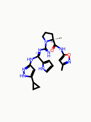 Cc1cc(NC(=O)[C@]2(C)CCCN2C(=N)/N=C(/Nc2cc(C3CC3)[nH]n2)c2ccc[nH]2)on1